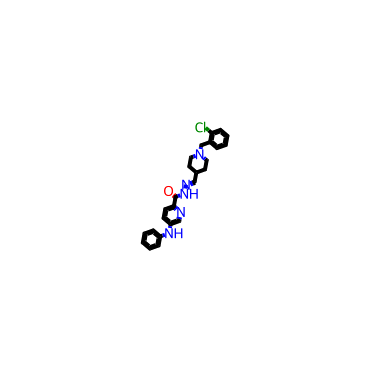 O=C(N/N=C/C1CCN(Cc2ccccc2Cl)CC1)c1ccc(Nc2ccccc2)cn1